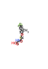 Cc1cc(OCc2ccc(C(=O)NCCC(=O)O)s2)ccc1-c1ccc(C(F)(F)F)cc1